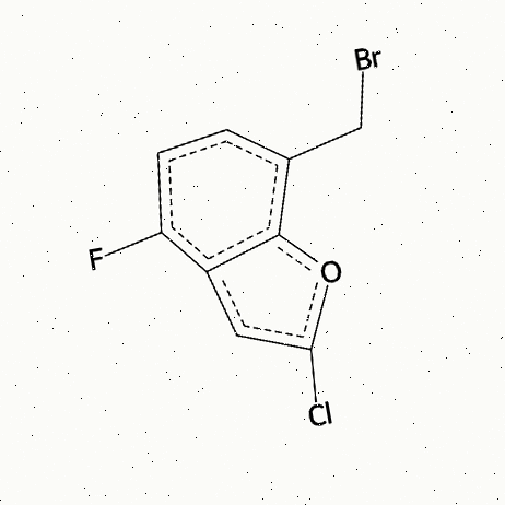 Fc1ccc(CBr)c2oc(Cl)cc12